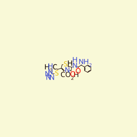 CC(Sc1nnn[nH]1)C1=C(C(=O)O)N2C(=O)C(NC(=O)[C@@H](N)c3ccccc3)[C@@H]2SC1